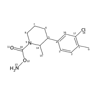 Cc1ccc(C2CCCN(C(=O)ON)C2C)cc1Cl